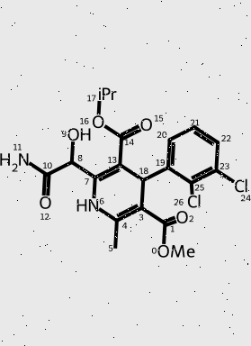 COC(=O)C1=C(C)NC(C(O)C(N)=O)=C(C(=O)OC(C)C)C1c1cccc(Cl)c1Cl